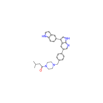 CC(C)CC(=O)N1CCN(Cc2ccc(-c3cnc4[nH]cc(-c5ccc6[nH]ccc6c5)c4c3)cc2)CC1